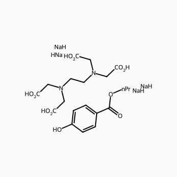 CCCOC(=O)c1ccc(O)cc1.O=C(O)CN(CCN(CC(=O)O)CC(=O)O)CC(=O)O.[NaH].[NaH].[NaH].[NaH]